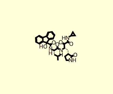 CC(C)C[C@H](NC(=O)C1(O)c2ccccc2-c2ccccc21)C(=O)N[C@@H](C[C@H]1CCNC1=O)C(=O)C(=O)NC1CC1